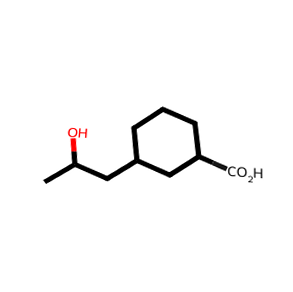 CC(O)CC1CCCC(C(=O)O)C1